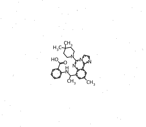 Cc1cc(C(C)Nc2ccccc2C(=O)O)c2nc(N3CCC(C)(C)CC3)n3ccnc3c2c1